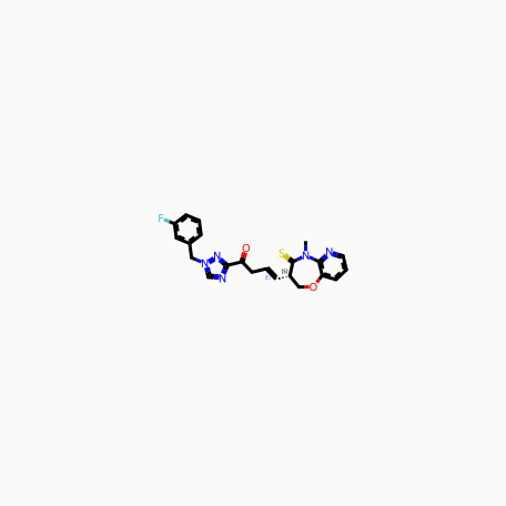 CN1C(=S)[C@@H](/C=C/CC(=O)c2ncn(Cc3cccc(F)c3)n2)COc2cccnc21